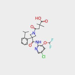 CC(C)c1ccccc1C1(C(=O)Nc2ncc(Cl)cc2OC(F)F)CN(C(=O)CC(C)(C)C(=O)O)C1